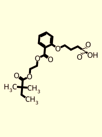 CCC(C)(C)C(=O)OCCOC(=O)c1ccccc1OCCCS(=O)(=O)O